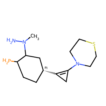 CN(N)C1C[C@H](C2=C(N3CCSCC3)C2)CCC1P